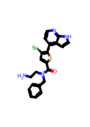 NCCN(Cc1ccccc1)C(=O)c1cc(Br)c(-c2ccnc3[nH]ccc23)s1